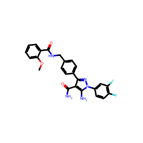 COc1ccccc1C(=O)NCc1ccc(-c2nn(-c3ccc(F)c(F)c3)c(N)c2C(N)=O)cc1